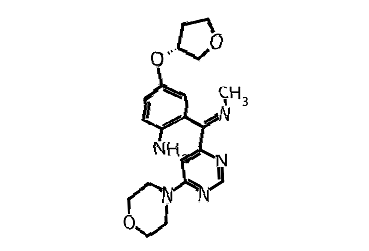 C/N=C(/c1cc(N2CCOCC2)ncn1)c1cc(O[C@@H]2CCOC2)ccc1N